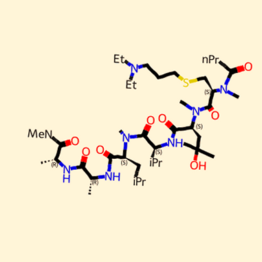 CCCC(=O)N(C)[C@H](CSCCCN(CC)CC)C(=O)N(C)[C@@H](CC(C)(C)O)C(=O)N[C@H](C(=O)N(C)[C@@H](CC(C)C)C(=O)N[C@H](C)C(=O)N[C@H](C)C(=O)NC)C(C)C